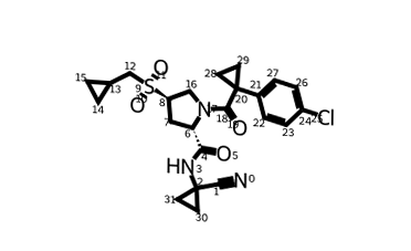 N#CC1(NC(=O)[C@@H]2C[C@@H](S(=O)(=O)CC3CC3)CN2C(=O)C2(c3ccc(Cl)cc3)CC2)CC1